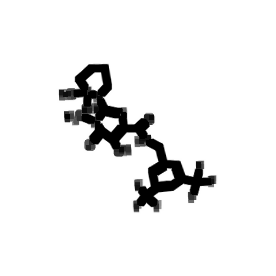 Cn1c(N2CCCCS2(O)O)nc(C(=O)NCc2cc(C(F)(F)F)cc(C(F)(F)F)c2)c(O)c1=O